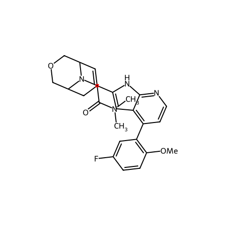 COc1ccc(F)cc1-c1ccnc2[nH]c(C3=CC4COCC(C3)N4CC(=O)N(C)C)cc12